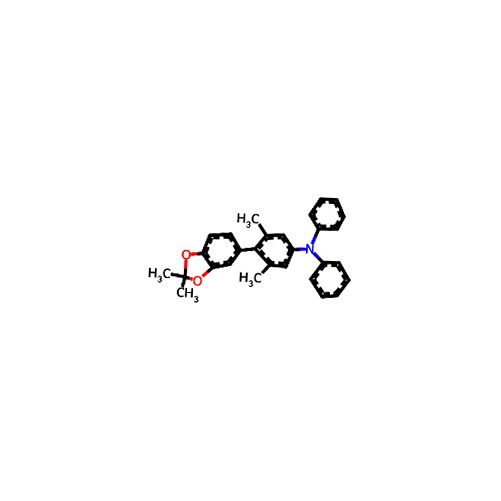 Cc1cc(N(c2ccccc2)c2ccccc2)cc(C)c1-c1ccc2c(c1)OC(C)(C)O2